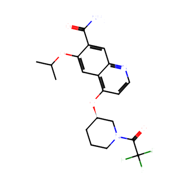 CC(C)Oc1cc2c(O[C@@H]3CCCN(C(=O)C(F)(F)F)C3)ccnc2cc1C(N)=O